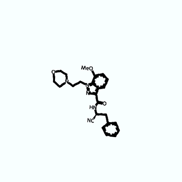 COc1cccc2c(C(=O)N[C@H](C#N)Cc3ccccc3)nn(CCN3CCOCC3)c12